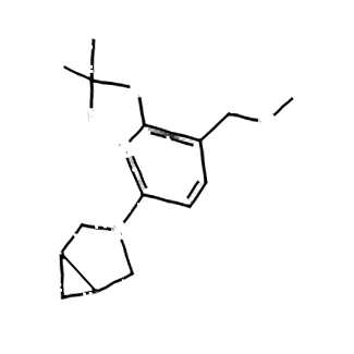 COCc1ccc(N2CC3CC3C2)nc1OC(F)(F)F